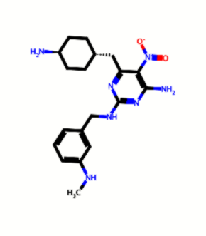 CNc1cccc(CNc2nc(N)c([N+](=O)[O-])c(C[C@H]3CC[C@H](N)CC3)n2)c1